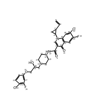 C=CC1CC1n1cc(C(=O)NN2CCN(C[C@H](O)COc3ccc(Cl)c(F)c3)CC2)c(=O)c2cc(F)c(Cl)cc21